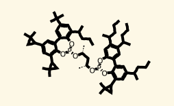 CCCC(C)c1cc(C2CC2(C)C)c2op(O[C@H](C)C[C@@H](C)Op3oc4c(C(C)CCC)cc(C(C)(C)C)cc4c4cc(C5CC5(C)C)cc(C5CC5(C)C)c4o3)oc3cc(C(C)CCC)c(C(C)CCC)cc3c2c1